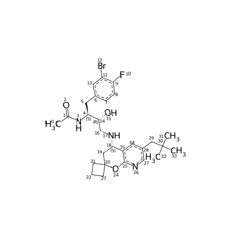 CC(=O)N[C@@H](Cc1ccc(F)c(Br)c1)[C@H](O)CN[C@H]1CC2(CCC2)Oc2ncc(CC(C)(C)C)cc21